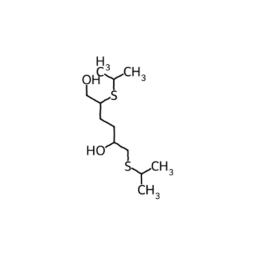 CC(C)SCC(O)CCC(CO)SC(C)C